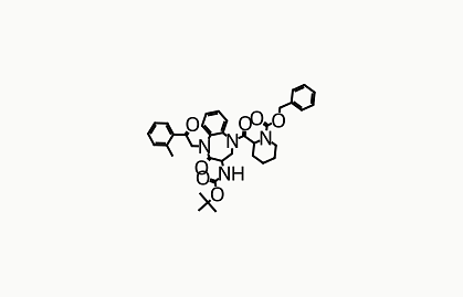 Cc1ccccc1C(=O)CN1C(=O)C(NC(=O)OC(C)(C)C)CN(C(=O)C2CCCCN2C(=O)OCc2ccccc2)c2ccccc21